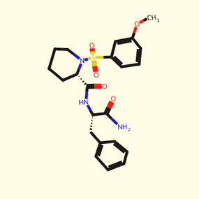 COc1cccc(S(=O)(=O)N2CCCC[C@H]2C(=O)N[C@@H](Cc2ccccc2)C(N)=O)c1